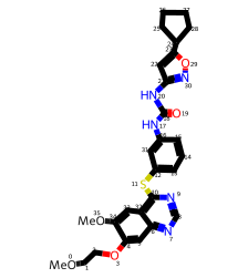 COCCOc1cc2ncnc(Sc3cccc(NC(=O)Nc4cc(C5CCCC5)on4)c3)c2cc1OC